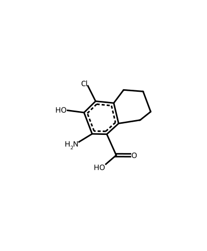 Nc1c(O)c(Cl)c2c(c1C(=O)O)CCCC2